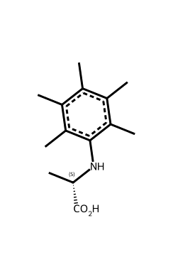 Cc1c(C)c(C)c(N[C@@H](C)C(=O)O)c(C)c1C